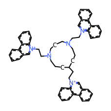 c1ccc2c(c1)c[n+](CCC1CCCN(CC[n+]3cc4ccccc4c4ccccc43)CCCN(CC[n+]3cc4ccccc4c4ccccc43)CCC1)c1ccccc21